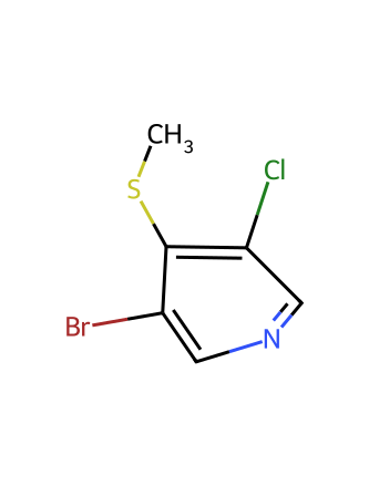 CSc1c(Cl)cncc1Br